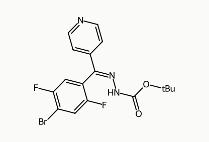 CC(C)(C)OC(=O)NN=C(c1ccncc1)c1cc(F)c(Br)cc1F